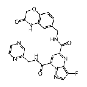 O=C1COc2ccc(CNC(=O)c3cc(C(=O)NCc4cnccn4)n4ncc(F)c4n3)cc2N1